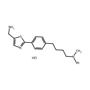 CC(C)N(C)CCCCc1ccc(-c2ncc(CN)s2)cc1.Cl